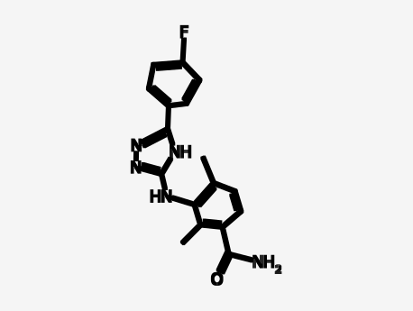 Cc1ccc(C(N)=O)c(C)c1Nc1nnc(-c2ccc(F)cc2)[nH]1